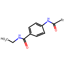 CCC(=O)Nc1ccc(C(=O)NCC(=O)O)cc1